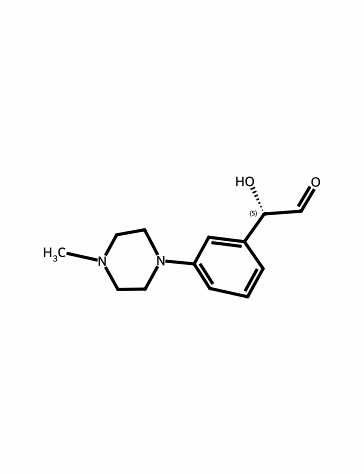 CN1CCN(c2cccc([C@H](O)C=O)c2)CC1